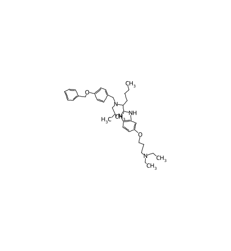 CCCCC(c1nc2ccc(OCCCN(CC)CC)cc2[nH]1)N(Cc1ccc(OCc2ccccc2)cc1)CC(C)C